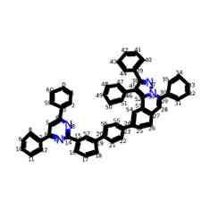 c1ccc(-c2cc(-c3ccccc3)nc(-c3cccc(-c4ccc(-c5ccc6cc(-c7ccccc7)n7nc(-c8ccccc8)c(-c8ccccc8)c7c6c5)cc4)c3)n2)cc1